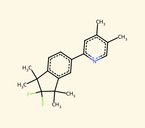 Cc1cnc(-c2ccc3c(c2)C(C)(C)C(F)(F)C3(C)C)cc1C